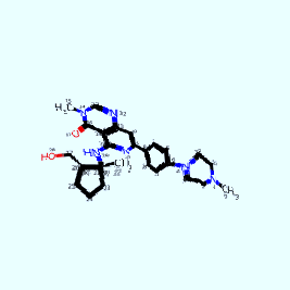 CN1CCN(c2ccc(-c3cc4ncn(C)c(=O)c4c(N[C@]4(C)CCC[C@H]4CO)n3)cc2)CC1